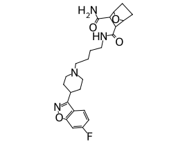 NC(=O)C1C2CCC(O2)C1C(=O)NCCCCN1CCC(c2noc3cc(F)ccc23)CC1